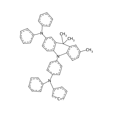 Cc1ccc2c(c1)C(C)(C)c1cc(N(c3ccccc3)c3ccccc3)ccc1N2c1ccc(N(c2ccccc2)c2ccccc2)cc1